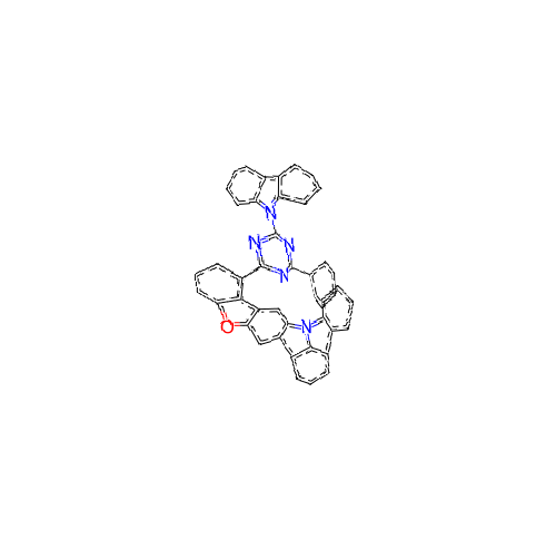 c1ccc(-c2nc(-c3cccc4oc5cc6c7cccc8c9ccccc9n(c6cc5c34)c87)nc(-n3c4ccccc4c4ccccc43)n2)cc1